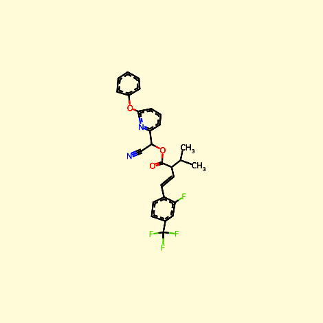 CC(C)C(C=Cc1ccc(C(F)(F)F)cc1F)C(=O)OC(C#N)c1cccc(Oc2ccccc2)n1